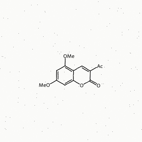 COc1cc(OC)c2cc(C(C)=O)c(=O)oc2c1